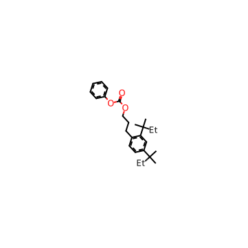 CCC(C)(C)c1ccc(CCCOC(=O)Oc2ccccc2)c(C(C)(C)CC)c1